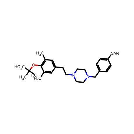 CSc1ccc(CN2CCN(CCc3cc(C)c(OC(C)(C)C(=O)O)c(C)c3)CC2)cc1